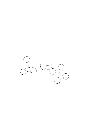 c1ccc(-n2c3ccccc3c3ccc(-c4ccc5oc6cc7c(cc6c5c4)-c4ccccc4C74c5ccccc5-c5ccccc54)cc32)cc1